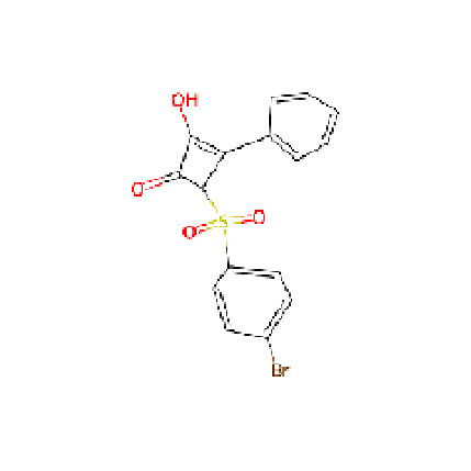 O=C1C(O)=C(c2ccccc2)C1S(=O)(=O)c1ccc(Br)cc1